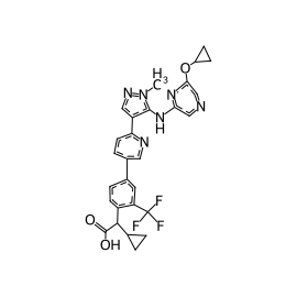 Cn1ncc(-c2ccc(-c3ccc(C(C(=O)O)C4CC4)c(C(F)(F)F)c3)cn2)c1Nc1cncc(OC2CC2)n1